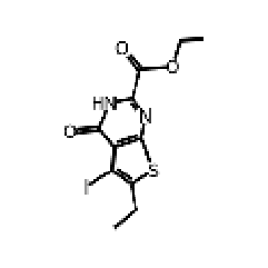 CCOC(=O)c1nc2sc(CC)c(I)c2c(=O)[nH]1